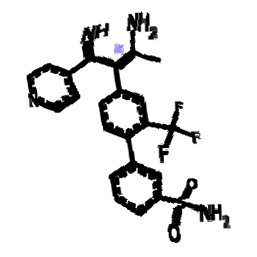 C/C(N)=C(/C(=N)c1ccncc1)c1ccc(-c2cccc(S(N)(=O)=O)c2)c(C(F)(F)F)c1